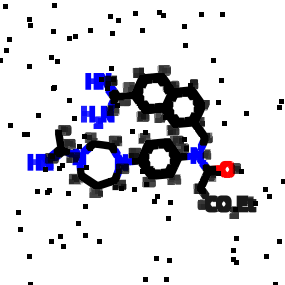 CCOC(=O)CC(=O)N(Cc1ccc2ccc(C(=N)N)cc2c1)c1ccc(N2CCCN(C(C)=N)CC2)cc1